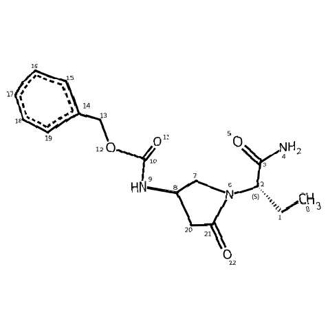 CC[C@@H](C(N)=O)N1CC(NC(=O)OCc2ccccc2)CC1=O